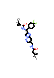 C[C@@H](CC(=O)NCc1cnn2cc([C@@H](NC(=O)[C@@H]3C[C@H]3C(F)(F)F)C3CCC(F)(F)CC3)nc2c1)C(F)(F)F